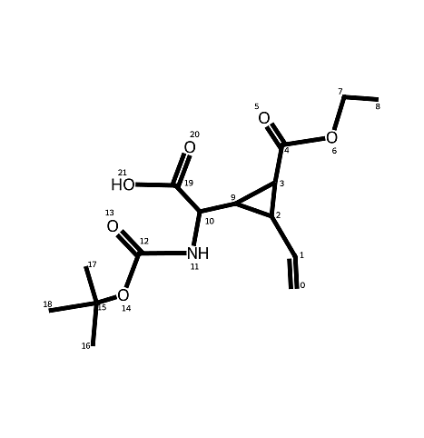 C=CC1C(C(=O)OCC)C1C(NC(=O)OC(C)(C)C)C(=O)O